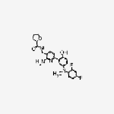 CN(c1ccc(O)c(-c2ccc(CNC(=O)C3CCCO3)c(N)n2)c1)c1ccc(F)cc1F